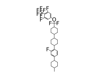 CC1CCC(c2ccc(C3CCC(C4CCC(C(F)(F)Oc5cc(F)c(S(F)(F)(F)(F)F)c(F)c5)CC4)CC3)c(F)c2)CC1